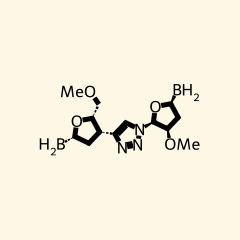 B[C@H]1C[C@@H](c2cn([C@H]3O[C@@H](B)C[C@H]3OC)nn2)[C@@H](COC)O1